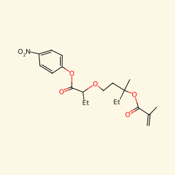 C=C(C)C(=O)OC(C)(CC)CCOC(CC)C(=O)Oc1ccc([N+](=O)[O-])cc1